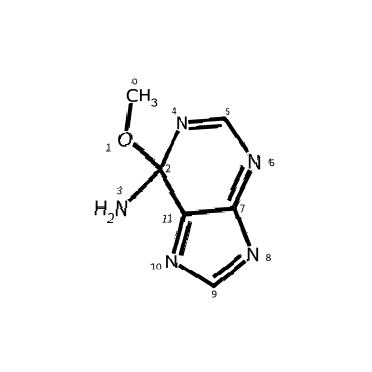 COC1(N)N=CN=C2N=CN=C21